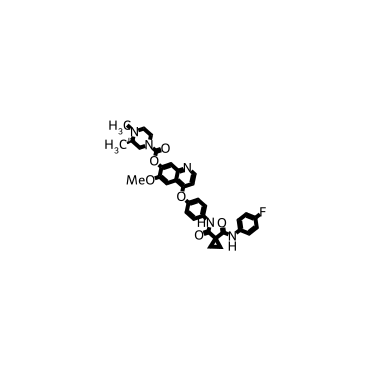 COc1cc2c(Oc3ccc(NC(=O)C4(C(=O)Nc5ccc(F)cc5)CC4)cc3)ccnc2cc1OC(=O)N1CCN(C)[C@H](C)C1